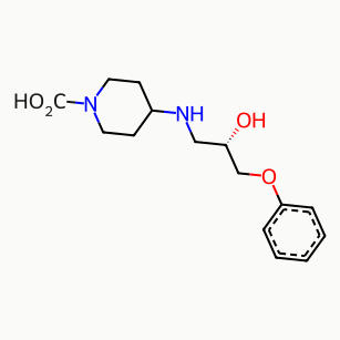 O=C(O)N1CCC(NC[C@H](O)COc2ccccc2)CC1